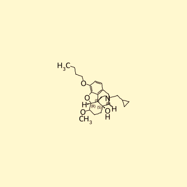 CCCCOc1ccc2c3c1O[C@H]1C(OC)CC[C@@]4(O)[C@@H](C2)N(CC2CC2)CC[C@]314